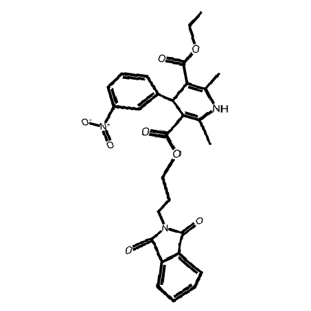 CCOC(=O)C1=C(C)NC(C)=C(C(=O)OCCCN2C(=O)c3ccccc3C2=O)C1c1cccc([N+](=O)[O-])c1